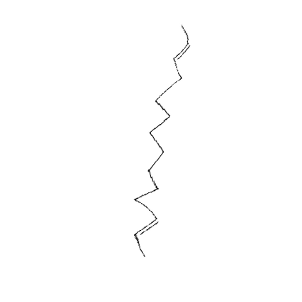 C/C=C/CCCCCCCC/C=C/C